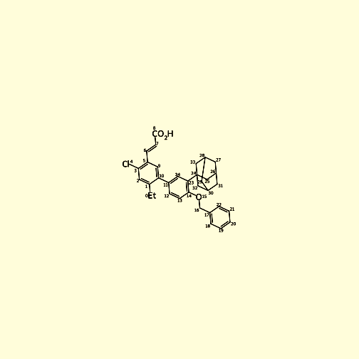 CCc1cc(Cl)c(C=CC(=O)O)cc1-c1ccc(OCc2ccccc2)c(C23CC4CC(CC(C4)C2)C3)c1